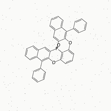 O=P12c3cc4ccccc4c(-c4ccccc4)c3Oc3cccc(c31)Oc1c2cc2ccccc2c1-c1ccccc1